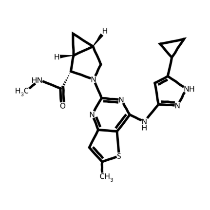 CNC(=O)[C@@H]1[C@@H]2C[C@@H]2CN1c1nc(Nc2cc(C3CC3)[nH]n2)c2sc(C)cc2n1